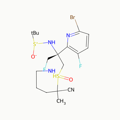 CC(C)(C)[S+]([O-])N[C@@](CF)(C[SH]1(=O)NCCCC1(C)C#N)c1nc(Br)ccc1F